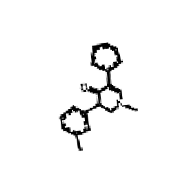 Cc1cccc(C2CN(C)C=C(c3ccccc3)C2=O)c1